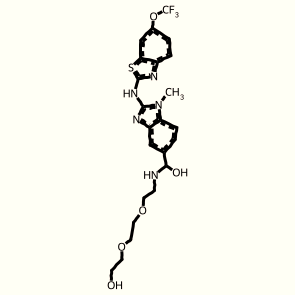 Cn1c(Nc2nc3ccc(OC(F)(F)F)cc3s2)nc2cc(C(O)NCCOCCOCCO)ccc21